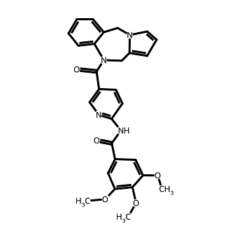 COc1cc(C(=O)Nc2ccc(C(=O)N3Cc4cccn4Cc4ccccc43)cn2)cc(OC)c1OC